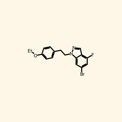 CCOc1ccc(CCn2ncc3c(F)cc(Br)cc32)cc1